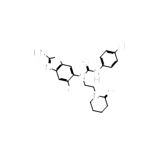 Nc1nc2cc(Cl)c(N(CCN3CCCCC3=O)C(=O)Nc3ccc(Cl)cc3)cc2s1